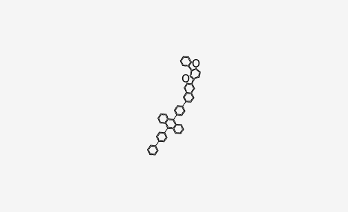 c1ccc(-c2ccc(-c3c4ccccc4c(-c4ccc(-c5ccc6cc7c(cc6c5)oc5c7ccc6oc7ccccc7c65)cc4)c4ccccc34)cc2)cc1